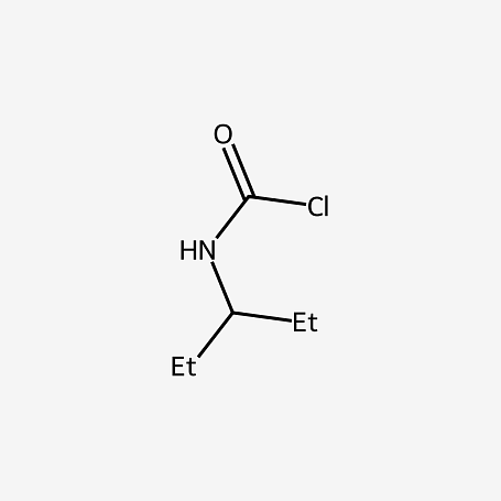 CCC(CC)NC(=O)Cl